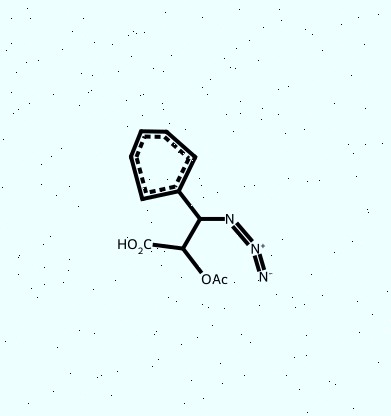 CC(=O)OC(C(=O)O)C(N=[N+]=[N-])c1ccccc1